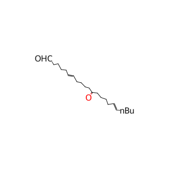 CCCCC=CCCCCC(=O)CCCCC=CCCCCC=O